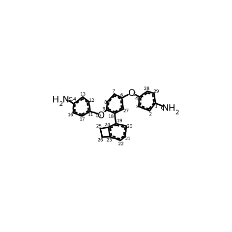 Nc1ccc(Oc2ccc(Oc3ccc(N)cc3)c(-c3cccc4c3CC4)c2)cc1